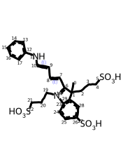 CC1(CCCS(=O)(=O)O)C(/C=C/C=C/Nc2ccccc2)=[N+](CCCS(=O)(=O)O)c2ccc(S(=O)(=O)O)cc21